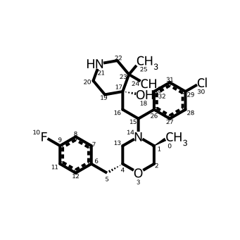 C[C@H]1CO[C@H](Cc2ccc(F)cc2)CN1C(C[C@@]1(O)CCNCC1(C)C)c1ccc(Cl)cc1